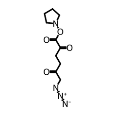 [N-]=[N+]=NCC(=O)CCC(=O)C(=O)ON1CCCC1